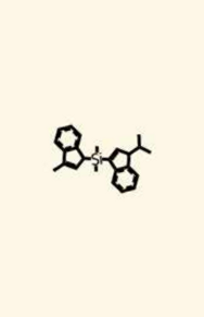 CC1=CC([Si](C)(C)C2=CC(C(C)C)c3ccccc32)c2ccccc21